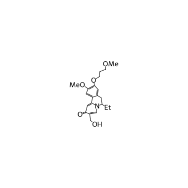 CCC1Cc2cc(OCCCOC)c(OC)cc2-c2cc(=O)c(CO)cn21